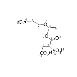 CCCCCCCCCCCCOC(C)OC(=O)C(CC(=O)O)S(=O)(=O)O